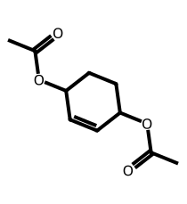 CC(=O)OC1C=CC(OC(C)=O)CC1